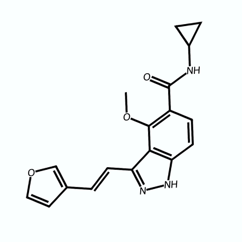 COc1c(C(=O)NC2CC2)ccc2[nH]nc(C=Cc3ccoc3)c12